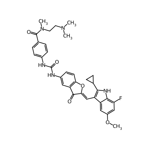 COc1cc(F)c2[nH]c(C3CC3)c(C=C3Oc4ccc(NC(=O)Nc5ccc(C(=O)N(C)CCN(C)C)cc5)cc4C3=O)c2c1